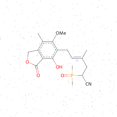 COc1c(C)c2c(c(O)c1C/C=C(\C)CC(C#N)P(C)(C)=O)C(=O)OC2